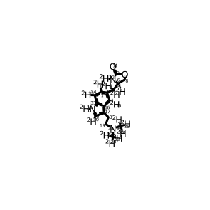 [2H]c1c(C([2H])([2H])[C@@]2([2H])COC(=O)N2[2H])c([2H])c2c(CCN(C([2H])([2H])[2H])C([2H])([2H])[2H])c([2H])n([2H])c2c1[2H]